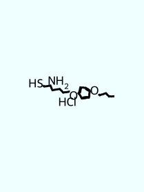 CCCCOc1ccc(OCCCC[C@@H](N)CS)cc1.Cl